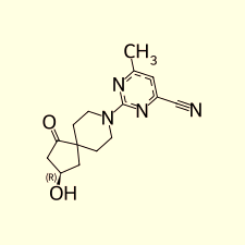 Cc1cc(C#N)nc(N2CCC3(CC2)C[C@@H](O)CC3=O)n1